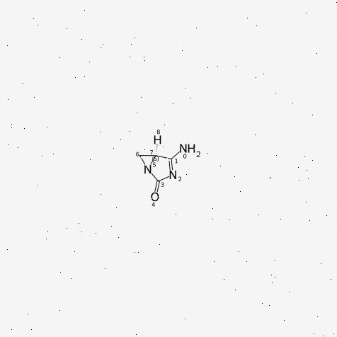 NC1=NC(=O)N2C[C@@H]12